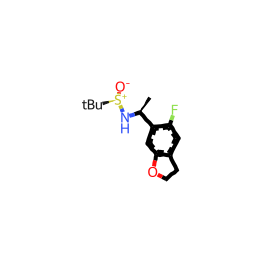 C[C@H](N[S@+]([O-])C(C)(C)C)c1cc2c(cc1F)CCO2